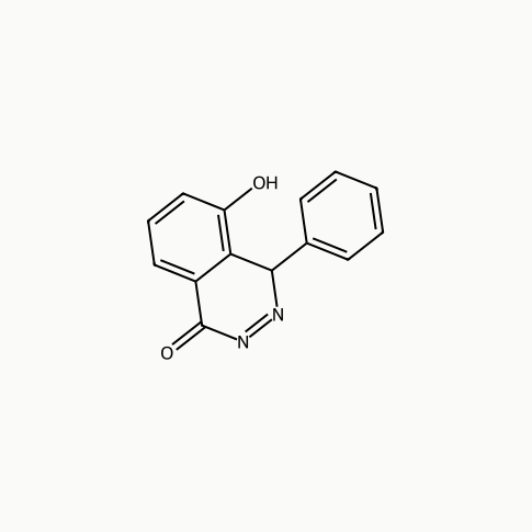 O=C1N=NC(c2ccccc2)c2c(O)cccc21